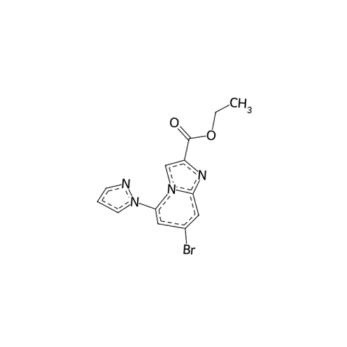 CCOC(=O)c1cn2c(-n3cccn3)cc(Br)cc2n1